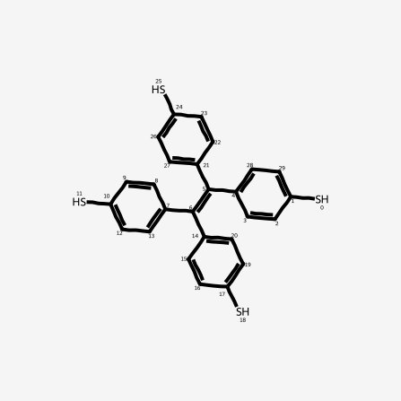 Sc1ccc(C(=C(c2ccc(S)cc2)c2ccc(S)cc2)c2ccc(S)cc2)cc1